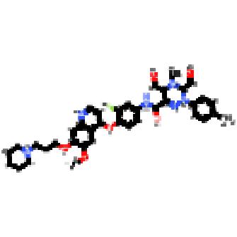 COc1cc2c(Oc3ccc(NC(=O)C4=NN(c5ccc(C)cc5)C(C=O)N(C)C4C=O)cc3F)ccnc2cc1OCCCN1CCCCC1